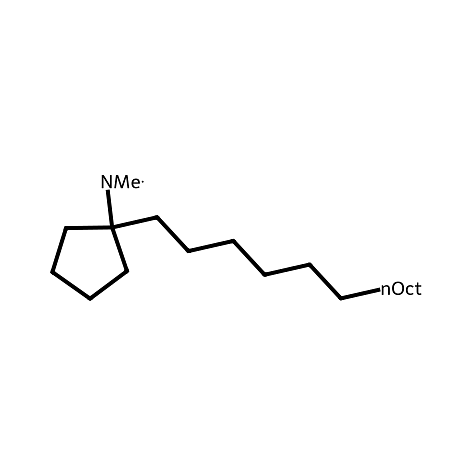 CCCCCCCCCCCCCCC1([N]C)CCCC1